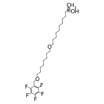 C[P@](O)CCCCCCCCCCOCCCCCCCCOCc1c(F)c(F)c(F)c(F)c1F